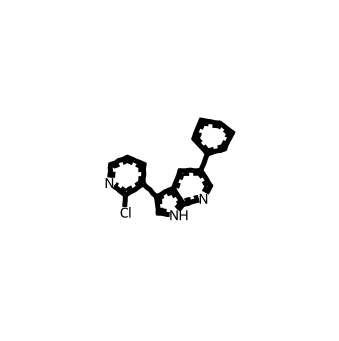 Clc1ncccc1-c1c[nH]c2ncc(-c3ccccc3)cc12